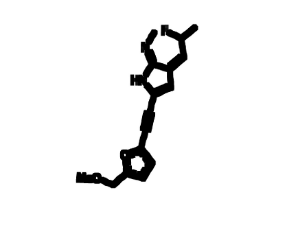 C/N=C1/NC(C#Cc2ccc(COC)o2)=C/C1=C/C(C)F